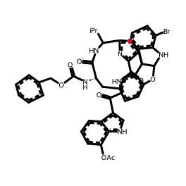 CC(=O)Oc1cccc2c(C(=O)CNC(=O)c3nc4oc3C35c6cc(ccc6OC3Nc3c(Br)cccc35)C[C@H](NC(=O)OCc3ccccc3)C(=O)NC4C(C)C)c[nH]c12